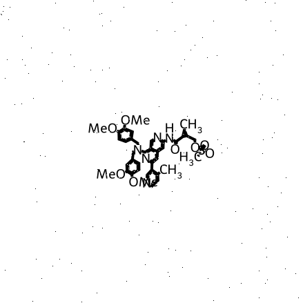 COc1ccc(CN(Cc2ccc(OC)c(OC)c2)c2nc(-c3cnccc3C)cc3cc(NC(=O)C4C(C)C4COS(C)(=O)=O)ncc23)cc1OC